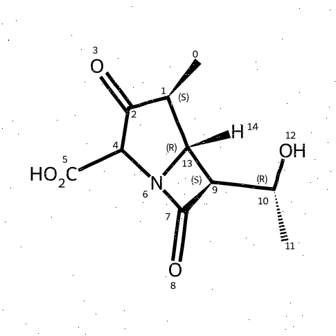 C[C@@H]1C(=O)C(C(=O)O)N2C(=O)[C@H]([C@@H](C)O)[C@@H]12